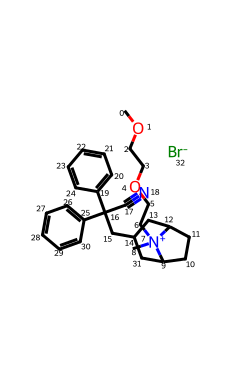 COCCOCC[N+]1(C)C2CCC1CC(CC(C#N)(c1ccccc1)c1ccccc1)C2.[Br-]